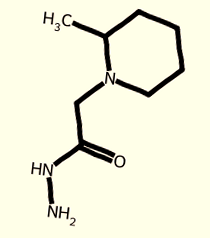 CC1CCCCN1CC(=O)NN